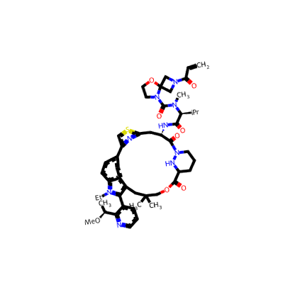 C=CC(=O)N1CC2(C1)OCCN2C(=O)N(C)[C@H](C(=O)N[C@H]1Cc2nc(cs2)-c2ccc3c(c2)c(c(-c2cccnc2[C@H](C)OC)n3CC)CC(C)(C)COC(=O)C2CCCN(N2)C1=O)C(C)C